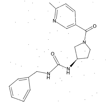 Cc1ccc(C(=O)N2CC[C@@H](NC(=O)NCc3ccccc3)C2)cn1